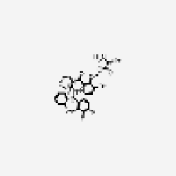 CC(C)[C@H](N)C(=O)OCOC1=C2C(=O)N3CCOC[C@H]3N([C@@H]3c4ccccc4SCc4c3ccc(F)c4F)N2C=CC1O